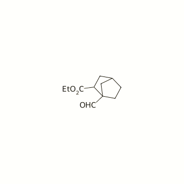 CCOC(=O)C1CC2CCC1(C=O)C2